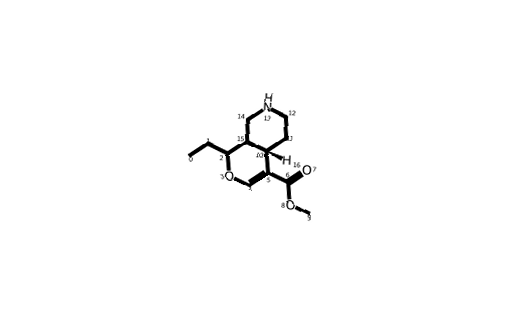 CCC1OC=C(C(=O)OC)[C@H]2CCNCC12